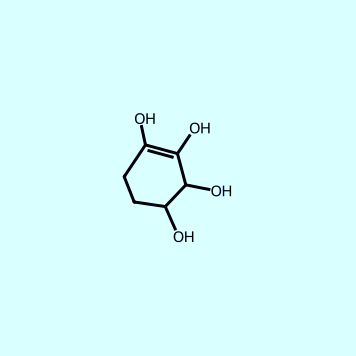 OC1=C(O)C(O)C(O)CC1